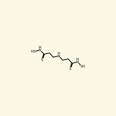 S=C(CCNCCC(=S)NS)NS